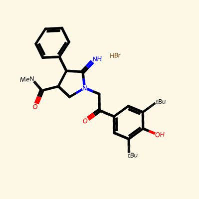 Br.CNC(=O)C1CN(CC(=O)c2cc(C(C)(C)C)c(O)c(C(C)(C)C)c2)C(=N)C1c1ccccc1